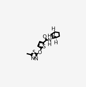 Cc1nnc(Oc2ccc(C(=O)N[C@@H]3C[C@H]4CC[C@@H]3N4)s2)s1